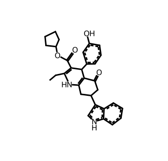 CCC1=C(C(=O)OC2CCCC2)C(c2cccc(O)c2)C2=C(CC(c3c[nH]c4ccccc34)CC2=O)N1